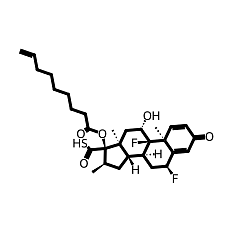 C=CCCCCCCC(=O)O[C@]1(C(=O)S)[C@H](C)C[C@H]2[C@@H]3C[C@H](F)C4=CC(=O)C=C[C@]4(C)[C@@]3(F)[C@@H](O)C[C@@]21C